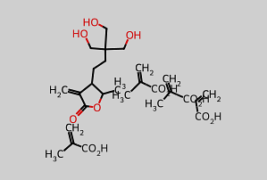 C=C(C)C(=O)O.C=C(C)C(=O)O.C=C(C)C(=O)O.C=C1C(=O)OC(C)C1CCC(CO)(CO)CO.C=CC(=O)O